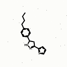 CCCCc1ccc(C2CC(c3cccs3)=NN2)cc1